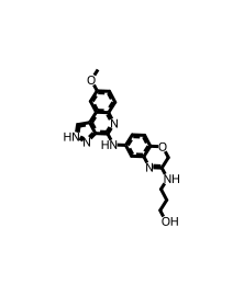 COc1ccc2nc(Nc3ccc4c(c3)N=C(NCCCO)CO4)c3n[nH]cc3c2c1